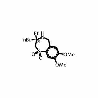 CCCC[C@]1(CC)CS(=O)(=O)c2cc(OC)c(OC)cc2CN1